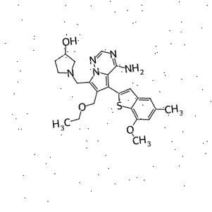 CCOCc1c(-c2cc3cc(C)cc(OC)c3s2)c2c(N)ncnn2c1CN1CCC(O)C1